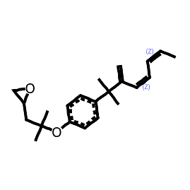 C=C(/C=C\C=C/C)C(C)(C)c1ccc(OC(C)(C)CC2CO2)cc1